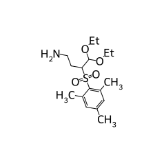 CCOC(OCC)C(CCN)S(=O)(=O)c1c(C)cc(C)cc1C